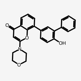 O=c1cc(N2CCOCC2)oc2c(-c3ccc(O)c(-c4ccccc4)c3)cccc12